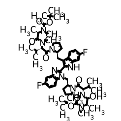 CC(C)[C@H](NC(O)[C@H](C)N(C)C(=O)OC(C)(C)C)C(=O)N1CCC[C@H]1Cn1c(-c2[nH]c3cc(F)ccc3c2C[C@@H]2CCCN2C(=O)[C@H](C(C)C)N(C)C(=O)[C@H](C)N(C)C(=O)OC(C)(C)C)nc2cc(F)ccc21